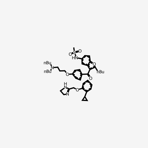 CCCCc1oc2ccc(NS(C)(=O)=O)cc2c1C(=O)c1ccc(OCCCN(CCCC)CCCC)cc1.c1ccc(C2CC2)c(OCC2=NCCN2)c1